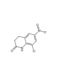 O=C1CCc2cc([N+](=O)[O-])cc(Cl)c2N1